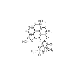 CCN(CC1CCN(C(=O)C(C)(C)NS(C)(=O)=O)CC1)C(C)Cc1ccc2c(c1)CCO2.Cl